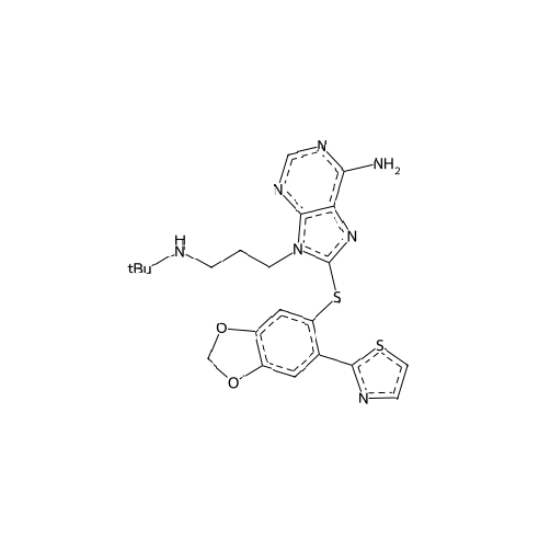 CC(C)(C)NCCCn1c(Sc2cc3c(cc2-c2nccs2)OCO3)nc2c(N)ncnc21